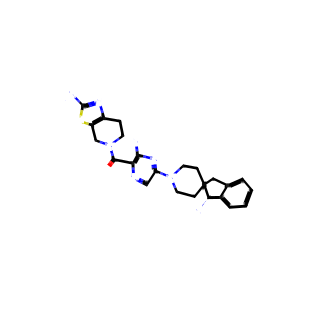 Nc1nc2c(s1)CN(C(=O)c1ncc(N3CCC4(CC3)Cc3ccccc3[C@H]4N)nc1N)CC2